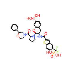 O=C(NC(Cc1ccc(B(O)O)cc1)C(=O)N1CCCC1C(=O)N1CCOC(c2ccccc2)C1)c1cc2cc(C(F)(F)P(=O)(O)O)ccc2s1